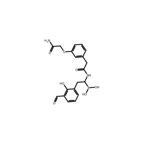 NC(=O)COc1cccc(CC(=O)NC(Cc2cccc(C=O)c2O)B(O)O)c1